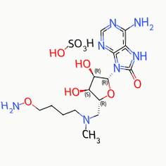 CN(CCCCON)C[C@H]1O[C@@H](n2c(=O)[nH]c3c(N)ncnc32)[C@H](O)[C@@H]1O.O=S(=O)(O)O